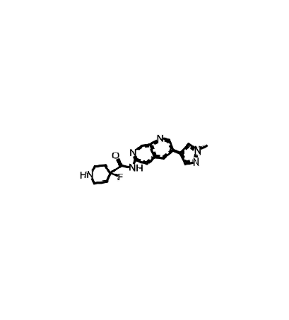 Cn1cc(-c2cnc3cnc(NC(=O)C4(F)CCNCC4)cc3c2)cn1